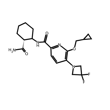 NC(=O)[C@@H]1CCCCC1NC(=O)c1ccc(N2CC(F)(F)C2)c(OCC2CC2)n1